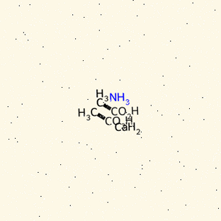 CC(=O)O.CC(=O)O.N.[CaH2]